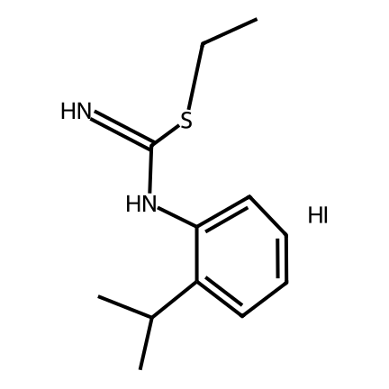 CCSC(=N)Nc1ccccc1C(C)C.I